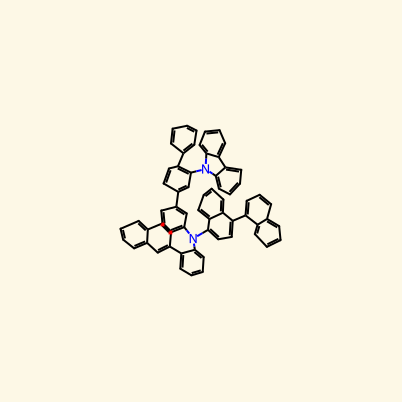 c1ccc(-c2ccc(-c3cccc(N(c4ccccc4-c4ccc5ccccc5c4)c4ccc(-c5cccc6ccccc56)c5ccccc45)c3)cc2-n2c3ccccc3c3ccccc32)cc1